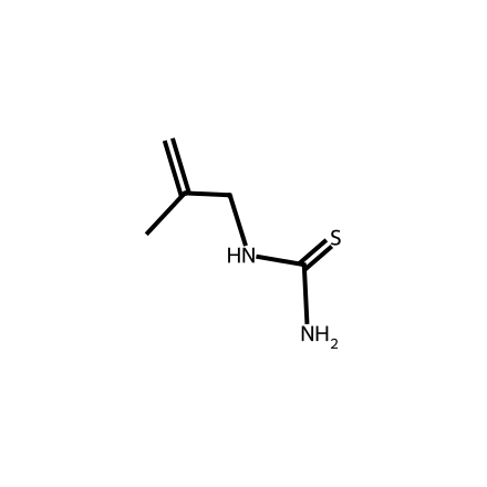 C=C(C)CNC(N)=S